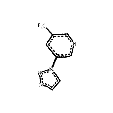 FC(F)(F)c1cncc(-n2ccnn2)c1